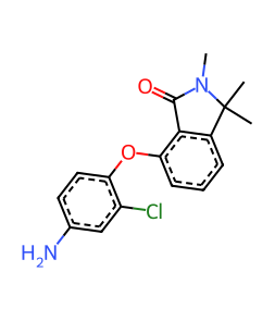 CN1C(=O)c2c(Oc3ccc(N)cc3Cl)cccc2C1(C)C